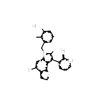 Cc1cccc(Cn2c(C(=O)O)c(-c3ccc[nH]c3=O)c3c4occc4c(F)cc32)c1F